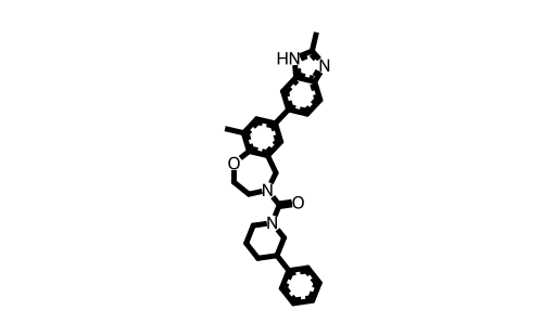 Cc1nc2ccc(-c3cc(C)c4c(c3)CN(C(=O)N3CCCC(c5ccccc5)C3)CCO4)cc2[nH]1